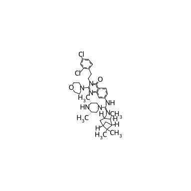 C[C@@H]1[C@@H](/N=C(/Nc2ccc3c(=O)n(CCc4ccc(Cl)cc4Cl)c(N4CCOCC4)nc3c2)N2C[C@@H](C)N[C@@H](C)C2)C[C@@H]2C[C@H]1C2(C)C